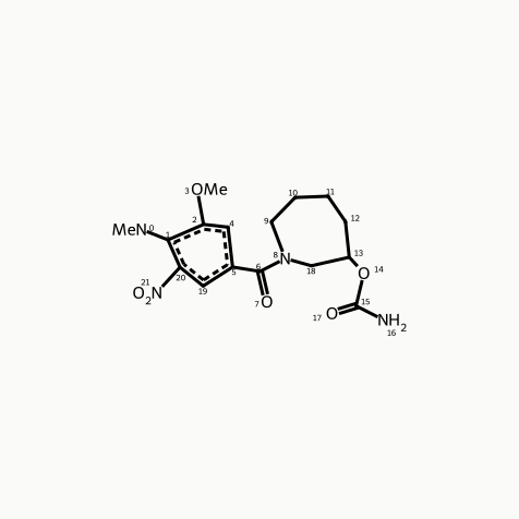 CNc1c(OC)cc(C(=O)N2CCCCC(OC(N)=O)C2)cc1[N+](=O)[O-]